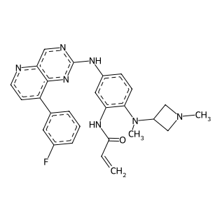 C=CC(=O)Nc1cc(Nc2ncc3nccc(-c4cccc(F)c4)c3n2)ccc1N(C)C1CN(C)C1